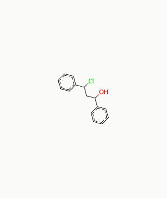 OC(CC(Cl)c1ccccc1)c1ccccc1